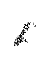 COC1CCC(N2CC3(C2)CN(S(=O)(=O)c2cnc(C(F)(F)F)nc2C)C3)CC1